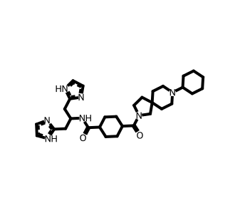 O=C(NC(Cc1ncc[nH]1)Cc1ncc[nH]1)C1CCC(C(=O)N2CCC3(CCN(C4CCCCC4)CC3)C2)CC1